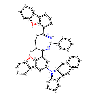 CC1CC/C(c2cccc3c2oc2ccccc23)=N\C(c2ccccc2)NC1c1cc(-n2c3ccccc3c3cc4ccccc4cc32)cc2c1oc1ccccc12